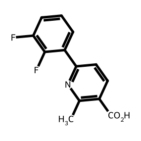 Cc1nc(-c2cccc(F)c2F)ccc1C(=O)O